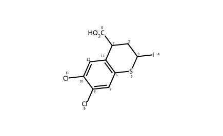 O=C(O)C1CC(I)Sc2cc(Cl)c(Cl)cc21